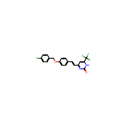 O=c1nc(/C=C/c2ccc(OCc3ccc(F)cc3)cc2)cc(C(F)(F)F)[nH]1